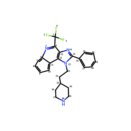 FC(F)(F)c1nc2ccccc2c2c1nc(-c1ccccc1)n2CCC1CCNCC1